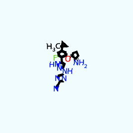 CC1(c2cc(F)c(-c3cc(Nc4cnc(C#N)cn4)n[nH]3)c(O[C@@H]3CCC[C@H]3N)c2)CC1